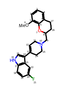 COc1cccc2c1OC(CN1CC=C(c3c[nH]c4ccc(F)cc34)CC1)CC2